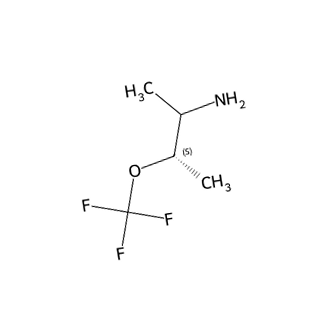 CC(N)[C@H](C)OC(F)(F)F